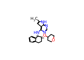 Cc1cc2c(N[C@H]3c4ccccc4CC[C@H]3OC3CCOCC3)ncnc2[nH]1